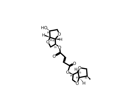 C[C@@H]1CO[C@H]2[C@@H]1OC[C@H]2OC(=O)C=CC(=O)O[C@H]1CO[C@H]2[C@@H]1OC[C@H]2O